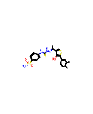 C/C(=N\NC(=S)Nc1ccc(S(N)(=O)=O)cc1)c1csc(-c2ccc(C)c(C)c2)c1O